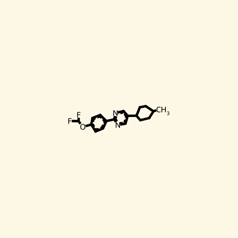 CC1CCC(c2cnc(-c3ccc(OC(F)F)cc3)nc2)CC1